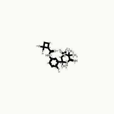 CC1(C)C(=N)N[C@](C)(c2cc(NC(=O)C3CCC3(F)F)ccc2F)CS1(=O)=O